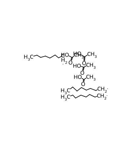 CC(=O)O.CC(=O)O.CC(=O)O.CC(=O)O.[CH2]CCCCCCC.[CH2]CCCCCCC.[CH2]CCCCCCC